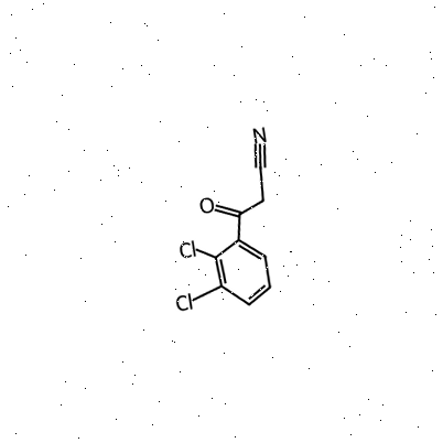 N#CCC(=O)c1cccc(Cl)c1Cl